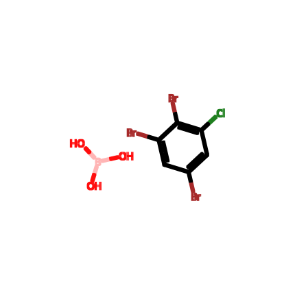 Clc1cc(Br)cc(Br)c1Br.OB(O)O